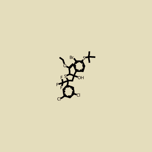 C=C(OCC)C1SC(c2cc(Cl)cc(Cl)c2)(C(F)(F)F)CC1(O)c1ccc(SC(C)(C)C)c(Br)c1